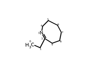 CC/C1=N/CCCCCC1